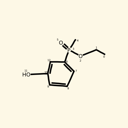 CCOP(C)(=O)c1cccc(O)c1